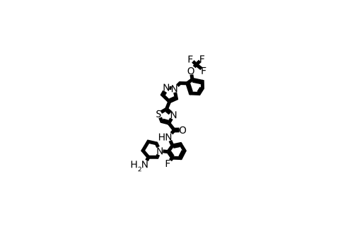 NC1CCCN(c2c(F)cccc2NC(=O)c2csc(-c3cnn(Cc4ccccc4OC(F)(F)F)c3)n2)C1